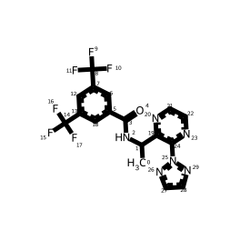 CC(NC(=O)c1cc(C(F)(F)F)cc(C(F)(F)F)c1)c1nccnc1-n1nccn1